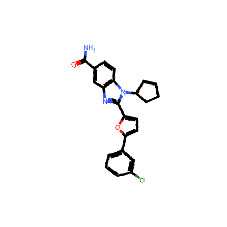 NC(=O)c1ccc2c(c1)nc(-c1ccc(-c3cccc(Cl)c3)o1)n2C1CCCC1